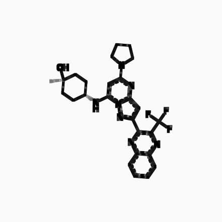 C[C@]1(O)CC[C@H](Nc2cc(N3CCCC3)nc3cc(-c4nc5ccccc5nc4C(F)(F)F)nn23)CC1